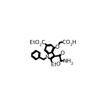 CCOC(=O)c1cc(OCC(=O)O)c2c(C(=O)C(N)=O)c(CC)n(Cc3ccccc3)c2c1